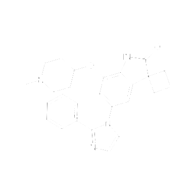 CN1CCC(Oc2cc(-n3ccnc3-c3ccccc3)cc3c2NC(=O)C32CCC2)CC1